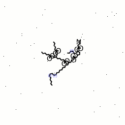 CC/C=C\CC1C(CC(=O)OCCC(CCCCCCCC/C=C\C/C=C\CCCCC)OC(=O)CCCCC(COC(=O)CCCCC)COC(=O)CCCCC)CCC1OC(=O)CCN(C)C